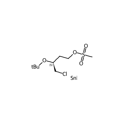 CC(C)(C)O[C@H](CCl)CCOS(C)(=O)=O.[Sn]